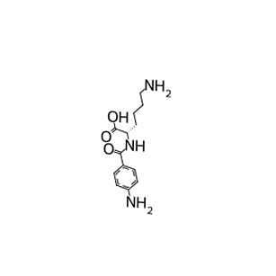 NCCCC[C@H](NC(=O)c1ccc(N)cc1)C(=O)O